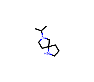 CC(C)N1CCC2(CCCN2)C1